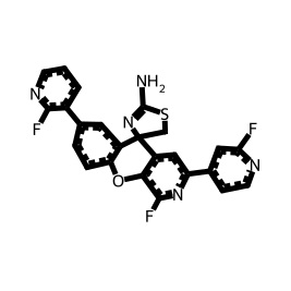 NC1=NC2(CS1)c1cc(-c3cccnc3F)ccc1Oc1c2cc(-c2ccnc(F)c2)nc1F